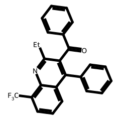 CCc1nc2c(C(F)(F)F)cccc2c(-c2ccccc2)c1C(=O)c1ccccc1